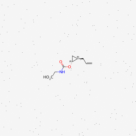 C=CC[C@@H]1C[C@H]1OC(=O)NCC(=O)O